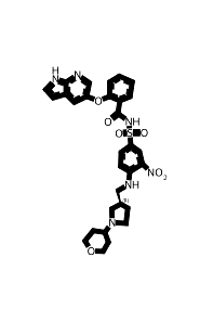 O=C(NS(=O)(=O)c1ccc(NC[C@H]2CCN(C3CCOCC3)C2)c([N+](=O)[O-])c1)c1ccccc1Oc1cnc2[nH]ccc2c1